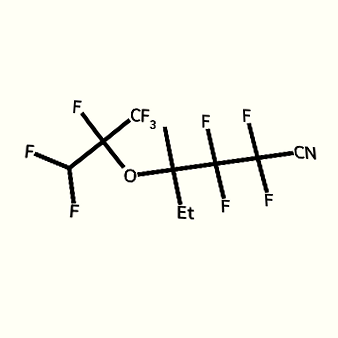 CCC(C)(OC(F)(C(F)F)C(F)(F)F)C(F)(F)C(F)(F)C#N